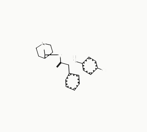 Cc1ccc(N[C@@H](C(=O)OC2CN3CCC2CC3)c2ccccc2)cc1